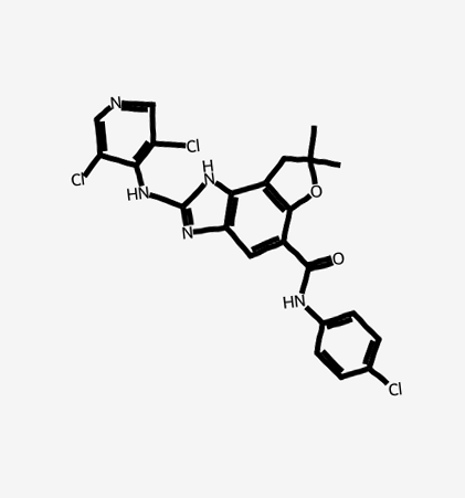 CC1(C)Cc2c(c(C(=O)Nc3ccc(Cl)cc3)cc3nc(Nc4c(Cl)cncc4Cl)[nH]c23)O1